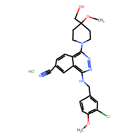 COc1ccc(CNc2nnc(N3CCC(CO)(OC)CC3)c3ccc(C#N)cc23)cc1Cl.Cl